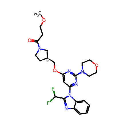 COCCC(=O)N1CC[C@H](COc2cc(-n3c(C(F)F)nc4ccccc43)nc(N3CCOCC3)n2)C1